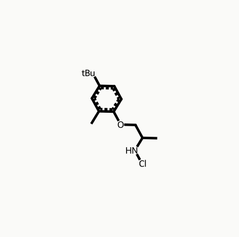 Cc1cc(C(C)(C)C)ccc1OCC(C)NCl